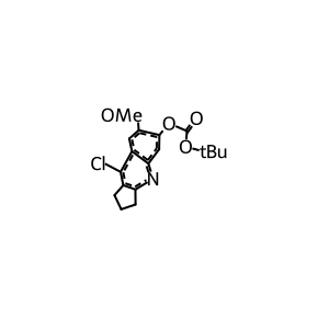 COc1cc2c(Cl)c3c(nc2cc1OC(=O)OC(C)(C)C)CCC3